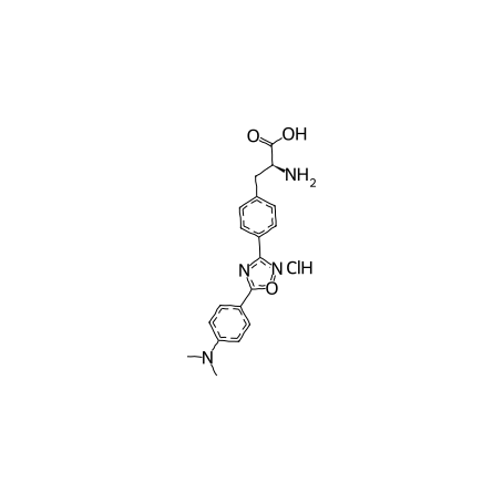 CN(C)c1ccc(-c2nc(-c3ccc(C[C@H](N)C(=O)O)cc3)no2)cc1.Cl